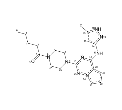 CCCCC(=O)N1CCN(c2nc(Nc3cc(C)[nH]n3)c3cccn3n2)CC1